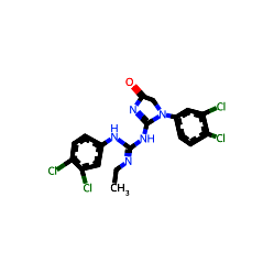 CC/N=C(/NC1=NC(=O)CN1c1ccc(Cl)c(Cl)c1)Nc1ccc(Cl)c(Cl)c1